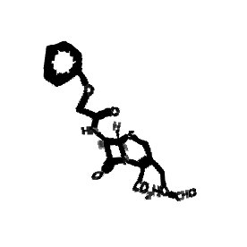 O=COCC1=C(C(=O)O)N2C(=O)[C@@H](NC(=O)COc3ccccc3)[C@H]2SC1